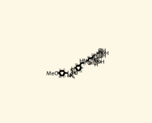 COc1ccc(C=NN(C)[PH](=S)Oc2ccc(CCNC(=O)CCCN(C[PH](O)(O)O)C[PH](O)(O)O)cc2)cc1